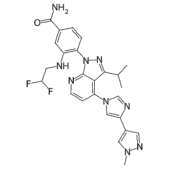 CC(C)c1nn(-c2ccc(C(N)=O)cc2NCC(F)F)c2nccc(-n3cnc(-c4cnn(C)c4)c3)c12